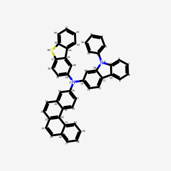 c1ccc(-n2c3ccccc3c3ccc(N(c4ccc5c(ccc6ccc7ccccc7c65)c4)c4ccc5sc6ccccc6c5c4)cc32)cc1